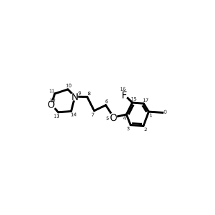 Cc1ccc(OCCCN2CCOCC2)c(F)c1